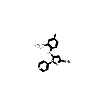 Cc1ccc(Nc2cc(C(C)(C)C)nn2-c2ccncc2)c(C(=O)O)c1